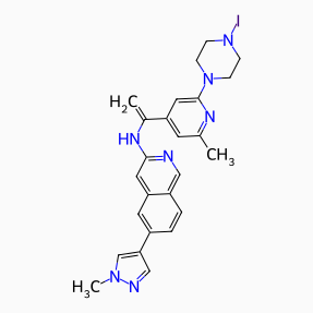 C=C(Nc1cc2cc(-c3cnn(C)c3)ccc2cn1)c1cc(C)nc(N2CCN(I)CC2)c1